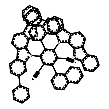 N#Cc1c(-c2cccc3ccccc23)c(C#N)c(-n2c3cc(-c4ccccc4)ccc3c3ccc4c5ccccc5sc4c32)c(-c2cccc3ccccc23)c1-n1c2cc(-c3ccccc3)ccc2c2ccc3c4ccccc4sc3c21